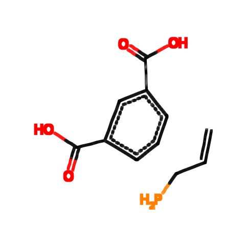 C=CCP.O=C(O)c1cccc(C(=O)O)c1